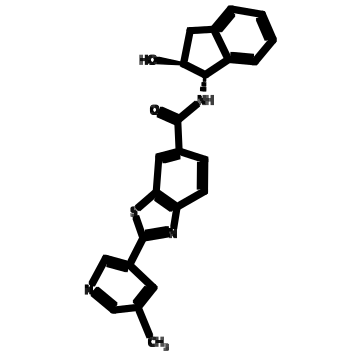 Cc1cncc(-c2nc3ccc(C(=O)N[C@H]4c5ccccc5C[C@@H]4O)cc3s2)c1